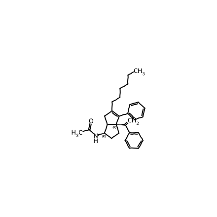 C=C(c1ccccc1)[C@@]12CC[C@@H](NC(C)=O)C1CC(CCCCCC)=C2c1ccccc1